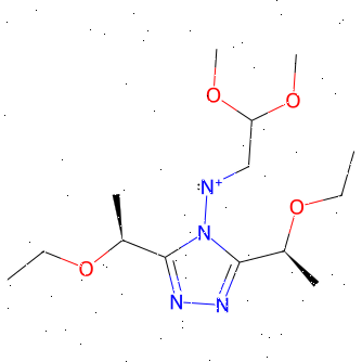 CCO[C@@H](C)c1nnc([C@H](C)OCC)n1[N+]CC(OC)OC